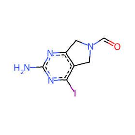 Nc1nc(I)c2c(n1)CN(C=O)C2